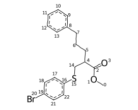 COC(=O)C(CCCc1ccccc1)CSc1ccc(Br)cc1